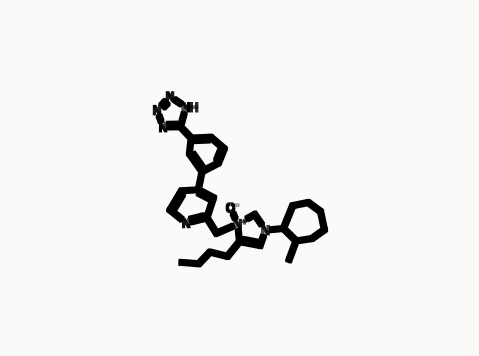 CCCCC1=CN(C2CCCCCC2C)C[N+]1([O-])Cc1cc(-c2cccc(-c3nnn[nH]3)c2)ccn1